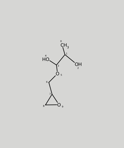 CC(O)C(O)OCC1CO1